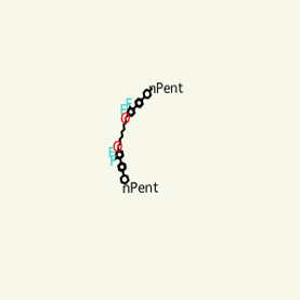 CCCCCC1CCC(c2ccc(-c3ccc(OCCCCCCCOc4ccc(-c5ccc(C6CCC(CCCCC)CC6)cc5)c(F)c4F)c(F)c3F)cc2)CC1